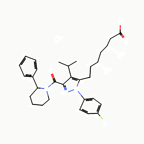 CC(C)c1c(C(=O)N2CCCCC2c2ccccc2)nn(-c2ccc(F)cc2)c1CC[C@@H](O)C[C@@H](O)CC(=O)[O-].[Na+]